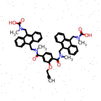 C#CCOc1cc(C(=O)N(C)Cc2c3ccccc3c(CN(C)C(=O)O)c3ccccc23)ccc1C(=O)N(C)Cc1c2ccccc2c(CN(C)C(=O)O)c2ccccc12